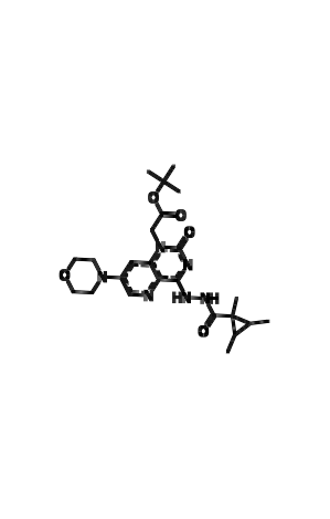 CC1C(C)C1(C)C(=O)NNc1nc(=O)n(CC(=O)OC(C)(C)C)c2cc(N3CCOCC3)cnc12